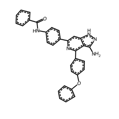 Nc1n[nH]c2cc(-c3ccc(NC(=O)c4ccccc4)cc3)nc(-c3ccc(Oc4ccccc4)cc3)c12